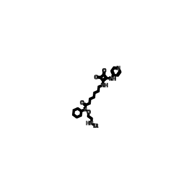 CCNCCON(C(=O)CCCCCCNc1c(Nc2ccncc2)c(=O)c1=O)C1CCCCC1